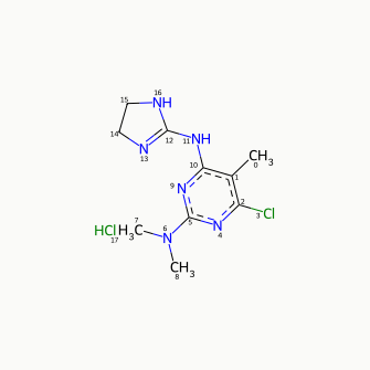 Cc1c(Cl)nc(N(C)C)nc1NC1=NCCN1.Cl